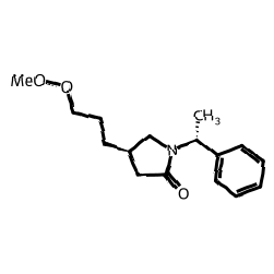 COOCCC[C@@H]1CC(=O)N([C@H](C)c2ccccc2)C1